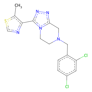 Cc1scnc1-c1nnc2n1CCN(Cc1ccc(Cl)cc1Cl)C2